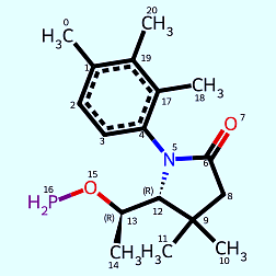 Cc1ccc(N2C(=O)CC(C)(C)[C@@H]2[C@@H](C)OP)c(C)c1C